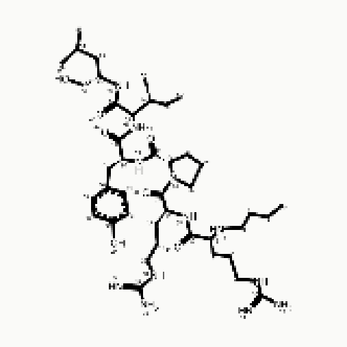 CCCCN[C@@H](CCCNC(=N)N)C(=O)N[C@@H](CCCNC(=N)N)C(=O)N1CCC[C@H]1C(=O)N[C@@H](Cc1ccc(O)cc1)C(=O)N[C@H](C(=O)N[C@H](CO)CC(C)C)[C@@H](C)CC